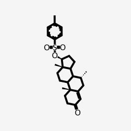 Cc1ccc(S(=O)(=O)O[C@H]2CCC3C4C(CC[C@@]32C)[C@@]2(C)CCC(=O)C=C2C[C@H]4C)cc1